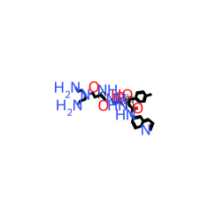 Cc1ccc([C@@H](O)[C@H](NC(=O)CNC(=O)[C@@H](N)CC(=O)N(CCN)CCN)C(=O)Nc2ccc3ncccc3c2)cc1